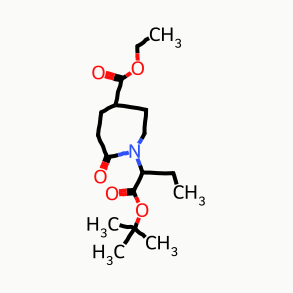 CCOC(=O)C1CCC(=O)N(C(CC)C(=O)OC(C)(C)C)CC1